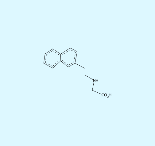 O=C(O)CNCCc1ccc2ccccc2c1